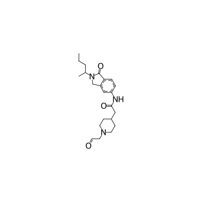 CCCC(C)N1Cc2cc(NC(=O)CC3CCN(CC=O)CC3)ccc2C1=O